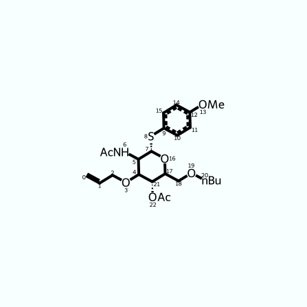 C=CCOC1C(NC(C)=O)[C@H](Sc2ccc(OC)cc2)OC(COCCCC)[C@@H]1OC(C)=O